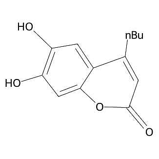 CCCCc1cc(=O)oc2cc(O)c(O)cc12